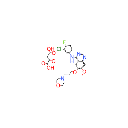 COc1cc2ncnc(Nc3ccc(F)c(Cl)c3)c2cc1OCCCN1CCOCC1.O=C(O)CC(=O)C(=O)O